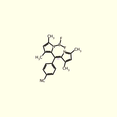 CC1=CC(C)=N/C1=C(/c1ccc(C#N)cc1)c1c(C)cc(C)n1B(F)F